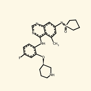 Cc1cc(N=S2(=O)CCCC2)cc2ncnc(Nc3ccc(F)cc3O[C@@H]3CCCNC3)c12